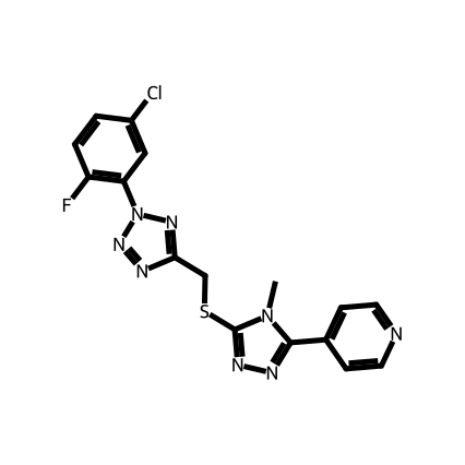 Cn1c(SCc2nnn(-c3cc(Cl)ccc3F)n2)nnc1-c1ccncc1